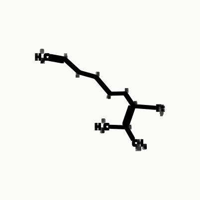 C=CCCCCC(CC)=C(C)C